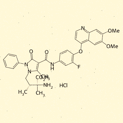 COc1cc2nccc(Oc3ccc(NC(=O)c4c(C)n(C[C@@H](C)[C@](C)(N)C(=O)O)n(-c5ccccc5)c4=O)cc3F)c2cc1OC.Cl